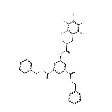 NC(Cc1c(F)c(F)c(F)c(F)c1F)C(=O)Nc1cc(C(=O)OCc2ccccc2)cc(C(=O)OCc2ccccc2)c1